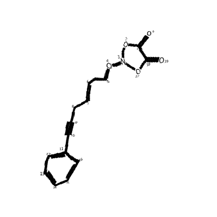 O=c1on(OCC=CCC#Cc2ccccc2)oc1=O